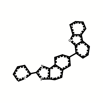 c1ccc(-c2nc3c(ccc4cc(-c5cccc6c5oc5ccccc56)ccc43)s2)cc1